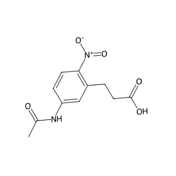 CC(=O)Nc1ccc([N+](=O)[O-])c(CCC(=O)O)c1